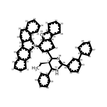 CC[C@H]1C(c2cc(-n3c4cc5ccccc5cc4c4ccc5ccccc5c43)c3oc4ccccc4c3c2)N=C(c2cccc(-c3ccccc3)c2)NC1c1ccccc1